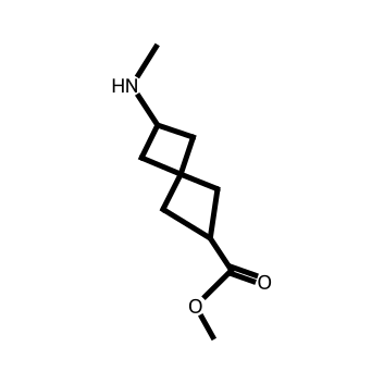 CNC1CC2(C1)CC(C(=O)OC)C2